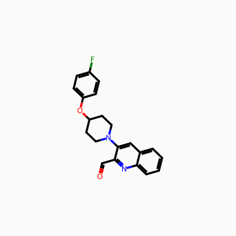 O=Cc1nc2ccccc2cc1N1CCC(Oc2ccc(F)cc2)CC1